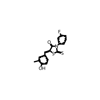 Cc1cc(/C=C2\SC(=S)N(c3cccc(F)c3)C2=O)ccc1O